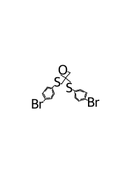 Brc1ccc(SCC2(CSc3ccc(Br)cc3)COC2)cc1